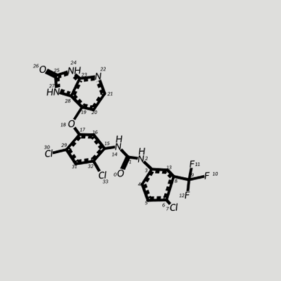 O=C(Nc1ccc(Cl)c(C(F)(F)F)c1)Nc1cc(Oc2ccnc3[nH]c(=O)[nH]c23)c(Cl)cc1Cl